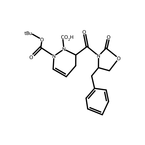 CC(C)(C)OC(=O)N1C=CCC(C(=O)N2C(=O)OCC2Cc2ccccc2)N1C(=O)O